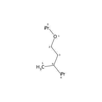 CC(C)OCCC(C)C(C)C